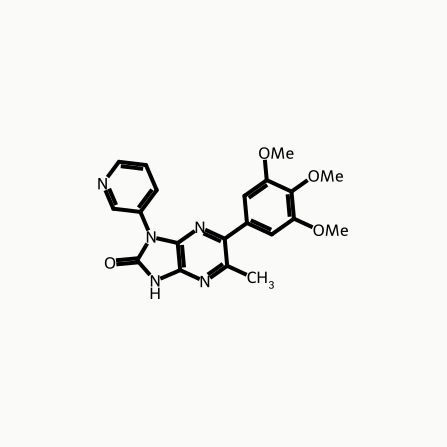 COc1cc(-c2nc3c(nc2C)[nH]c(=O)n3-c2cccnc2)cc(OC)c1OC